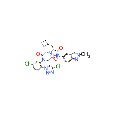 Cn1cc2cc(NC(=O)C(CC3CCC3)N3CC(=O)N(c4cc(Cl)ccc4-n4cc(Cl)nn4)CC3=O)ccc2n1